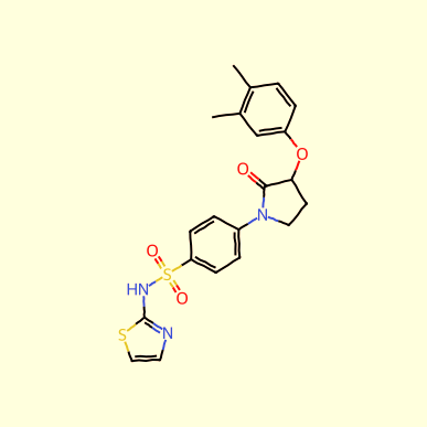 Cc1ccc(OC2CCN(c3ccc(S(=O)(=O)Nc4nccs4)cc3)C2=O)cc1C